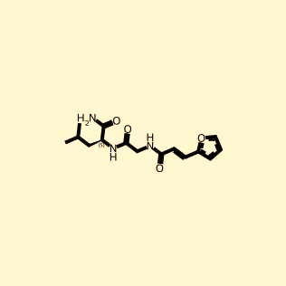 CC(C)C[C@H](NC(=O)CNC(=O)C=Cc1ccco1)C(N)=O